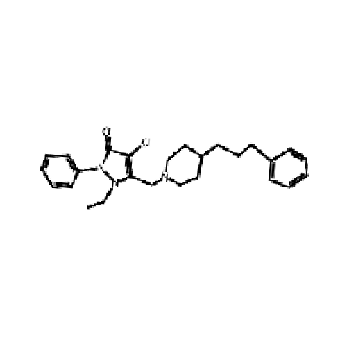 CCn1c(CN2CCC(CCCc3ccccc3)CC2)c(Cl)c(=O)n1-c1ccccc1